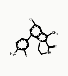 Cc1ccc(-c2cc(Cl)cc3c(C)c4n(c23)CCNC4=O)cc1F